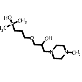 CN1CCN(CC(O)COCCC[Si](C)(C)O)CC1